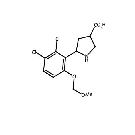 COCOc1ccc(Cl)c(Cl)c1C1CC(C(=O)O)CN1